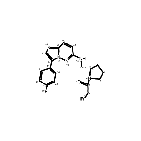 CC(C)CC(=O)N1CCC[C@H]1CNc1ccc2ncc(-c3ccc(F)cc3)n2n1